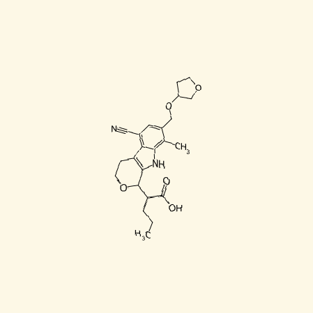 CCCC(C(=O)O)C1OCCc2c1[nH]c1c(C)c(COC3CCOC3)cc(C#N)c21